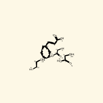 O=C(O)C=Cc1ccccc1.O=C(O)CS.O=C(O)CS.OCCO